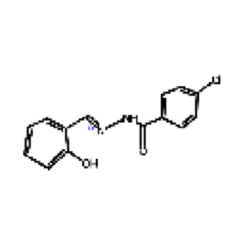 O=C(N/N=C/c1ccccc1O)c1ccc(Cl)cc1